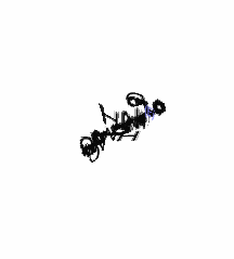 COCC/C(=C\c1ccccc1)[C@@H]1C[C@H]1NC1CCC(NCc2ccc(C(=O)OC(C)(C)C)nc2)CC1